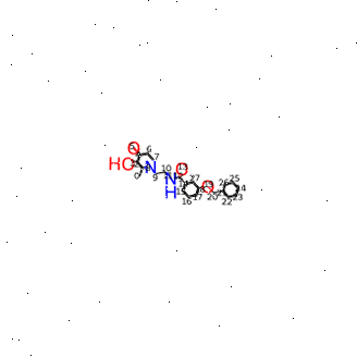 Cc1c(O)c(=O)ccn1CCNC(=O)c1cccc(OCc2ccccc2)c1